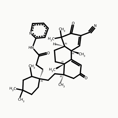 CC1CC(C)(C)CC[C@]1(CCC(=O)Nc1ccccn1)CC[C@]1(C)CC(=O)C=C2[C@@]3(C)C=C(C#N)C(=O)C(C)(C)[C@@H]3CC[C@]21C